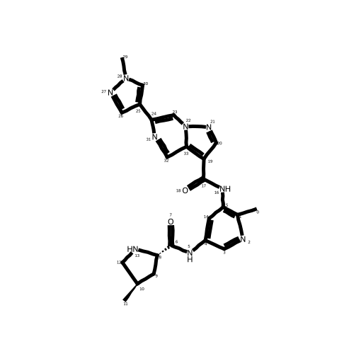 Cc1ncc(NC(=O)[C@@H]2C[C@@H](C)CN2)cc1NC(=O)c1cnn2cc(-c3cnn(C)c3)ncc12